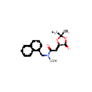 CON(Cc1cccc2ccccc12)C(=O)C=C1OC(C)(C)OC1=O